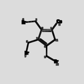 [Co][C]1=C(CBr)C(CBr)=C(CBr)C1